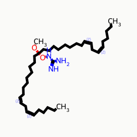 CCCCC/C=C\C/C=C\CCCCCCCCC(CCCCCCCC/C=C\C/C=C\CCCCC)(OC)ONC(=N)N